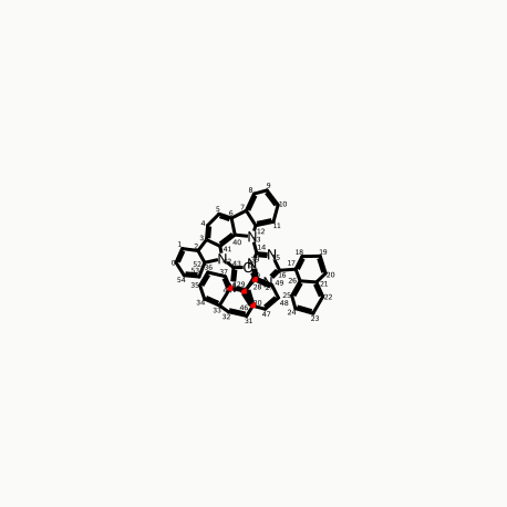 C1=CC2c3ccc4c5ccccc5n(-c5nc(-c6cccc7ccccc67)nc(-c6cccc7ccccc67)n5)c4c3N(c3nc4ccccc4o3)C2C=C1